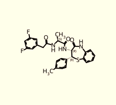 Cc1ccc([C@H]2Sc3ccccc3NC(=O)[C@H]2NC(=O)[C@H](C)NC(=O)Cc2cc(F)cc(F)c2)cc1